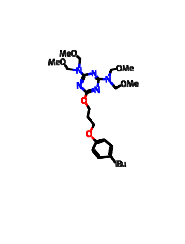 CCC(C)c1ccc(OCCCOc2nc(N(COC)COC)nc(N(COC)COC)n2)cc1